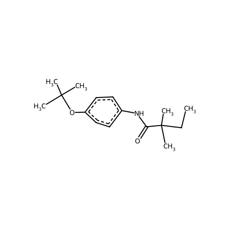 CCC(C)(C)C(=O)Nc1ccc(OC(C)(C)C)cc1